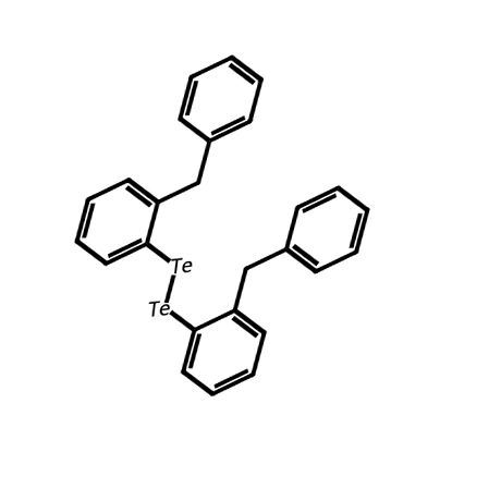 c1ccc(Cc2ccccc2[Te][Te]c2ccccc2Cc2ccccc2)cc1